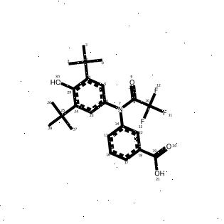 CC(C)(C)c1cc(N(C(=O)C(F)(F)F)c2cccc(C(=O)O)c2)cc(C(C)(C)C)c1O